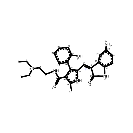 CCN(CC)CCNC(=O)c1c(C)[nH]c(/C=C2\C(=O)Nc3ccc(N)cc32)c1-c1ccccc1O